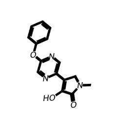 CN1CC(c2cnc(Oc3ccccc3)cn2)=C(O)C1=O